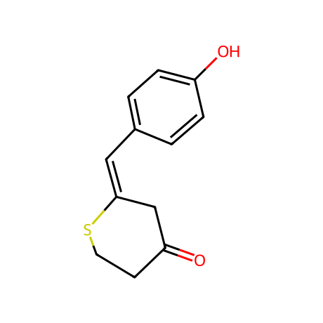 O=C1CCSC(=Cc2ccc(O)cc2)C1